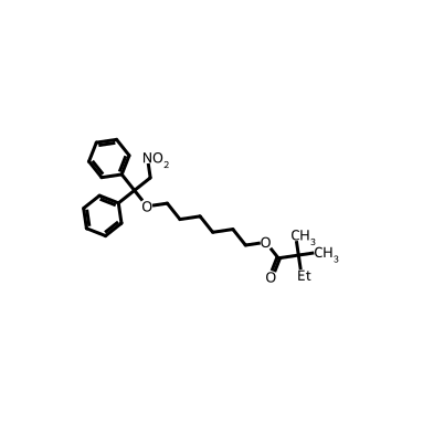 CCC(C)(C)C(=O)OCCCCCCOC(C[N+](=O)[O-])(c1ccccc1)c1ccccc1